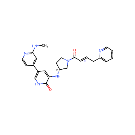 CNc1cc(-c2c[nH]c(=O)c(N[C@@H]3CCN(C(=O)/C=C/Cc4ccccn4)C3)c2)ccn1